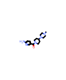 CN1CCN(C2CCN(C(=O)c3ccc(N)nc3)CC2)CC1